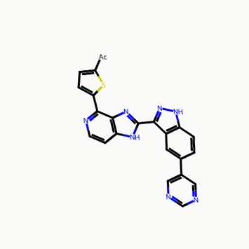 CC(=O)c1ccc(-c2nccc3[nH]c(-c4n[nH]c5ccc(-c6cncnc6)cc45)nc23)s1